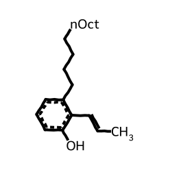 CC=Cc1c(O)cccc1CCCCCCCCCCCC